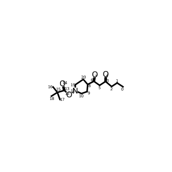 CCCC(=O)CC(=O)C1CCN(OC(=O)C(C)(C)C)CC1